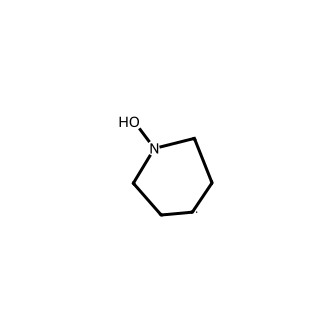 ON1CC[CH]CC1